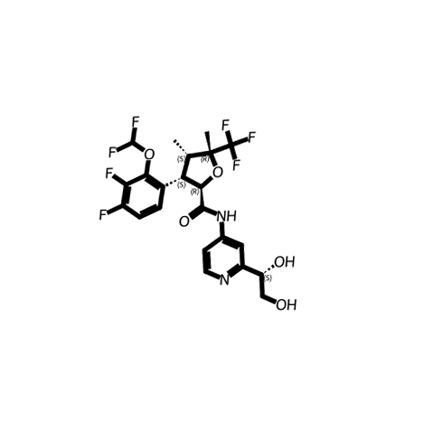 C[C@H]1[C@@H](c2ccc(F)c(F)c2OC(F)F)[C@H](C(=O)Nc2ccnc([C@H](O)CO)c2)O[C@@]1(C)C(F)(F)F